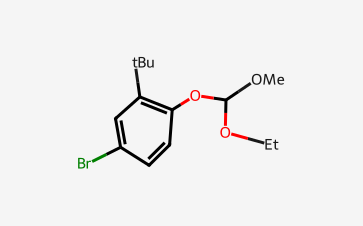 CCOC(OC)Oc1ccc(Br)cc1C(C)(C)C